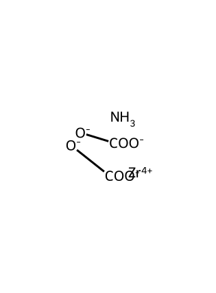 N.O=C([O-])[O-].O=C([O-])[O-].[Zr+4]